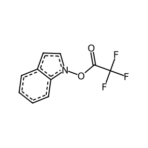 O=C(On1ccc2ccccc21)C(F)(F)F